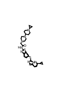 O=C(CN1CCN(C2CCN(C3CC3)CC2)CC1)Nc1nc2ccc(Sc3nnc4ccc(C5CC5)nn34)cc2s1